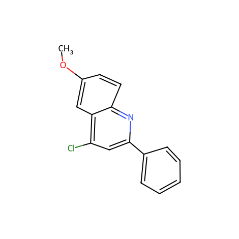 COc1ccc2nc(-c3ccccc3)cc(Cl)c2c1